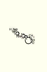 C/C1=N/NC(=O)CCCCCn2c1cc1cnc(Nc3ccc(S(N)(=O)=O)nc3)nc12